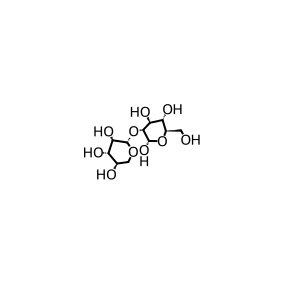 OC[C@H]1O[C@H](O)[C@H](O[C@@H]2OC[C@@H](O)[C@H](O)[C@H]2O)[C@@H](O)[C@@H]1O